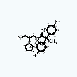 CC(C)CC(CN(C)C(=O)C(C)(c1ccc(F)cc1)c1ccc(F)cc1)N1CCCC1